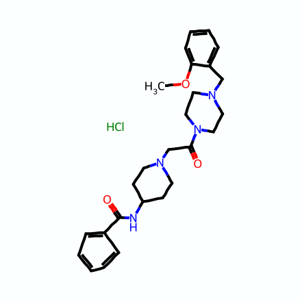 COc1ccccc1CN1CCN(C(=O)CN2CCC(NC(=O)c3ccccc3)CC2)CC1.Cl